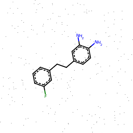 Nc1ccc(CCc2cccc(F)c2)cc1N